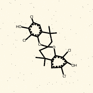 CC1(C)CC2(CC(C)(C)c3cc(Cl)c(O)c(Cl)c3O2)Oc2c1cc(Cl)c(O)c2Cl